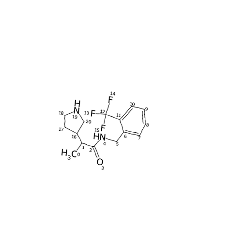 CC(C(=O)NCc1ccccc1C(F)(F)F)C1CCNC1